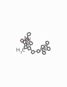 Cc1ccc2c(c1)c1ccccc1n2-c1c(-c2cccc(-c3cccc(-c4ccc(N5c6ccccc6B6c7ccccc7N(c7ccccc7)c7cccc5c76)cc4)c3)c2)cccc1-c1nc(-c2ccccc2)nc(-c2ccccc2)n1